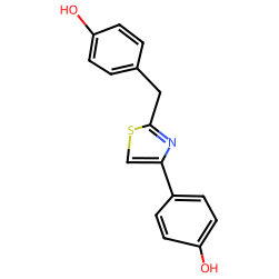 Oc1ccc(Cc2nc(-c3ccc(O)cc3)cs2)cc1